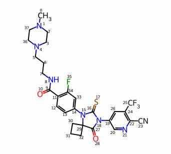 CN1CCN(CCCNC(=O)c2ccc(N3C(=S)N(c4cnc(C#N)c(C(F)(F)F)c4)C(=O)C34CCC4)cc2F)CC1